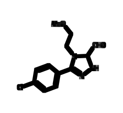 COCCN1C(c2ccc(Cl)cc2)=NNC1C=O